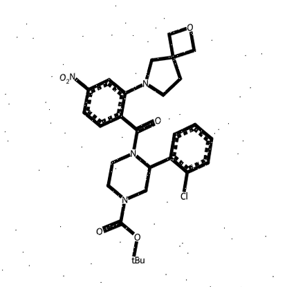 CC(C)(C)OC(=O)N1CCN(C(=O)c2ccc([N+](=O)[O-])cc2N2CCC3(COC3)C2)C(c2ccccc2Cl)C1